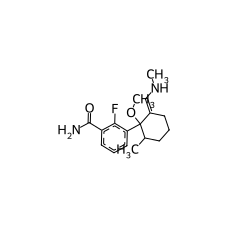 CN/C=C1\CCCC(C)C1(OC)c1cccc(C(N)=O)c1F